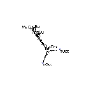 CCCCCCCC/C=C\CCCCCCCCOCC(OCCCCCCCC/C=C\CCCCCCCC)C(CCCCCCCCCCCC)OCCOCCOCCOCCOC(=O)CN(CCOC(=O)CN(CCOC)C(=O)OC(C)(C)C)C(=O)OC(C)(C)C